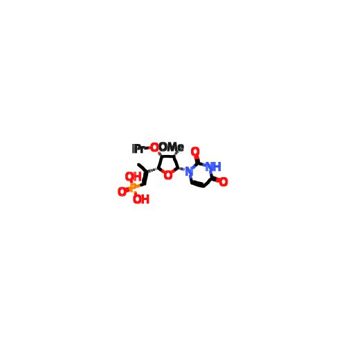 CO[C@H]1[C@@H](OC(C)C)[C@@H](/C(C)=C/P(=O)(O)O)O[C@H]1n1ccc(=O)[nH]c1=O